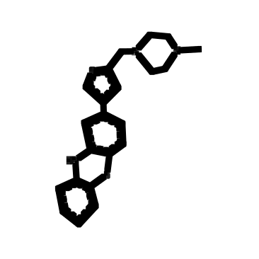 CN1CCN(Cc2cc(-c3ccc4c(c3)Nc3ccccc3S4)cs2)CC1